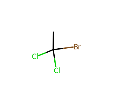 CC(Cl)(Cl)Br